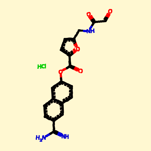 Cl.N=C(N)c1ccc2cc(OC(=O)c3ccc(CNC(=O)C=O)o3)ccc2c1